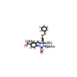 CCCCC1(C#CCCc2ccccc2)c2cc3cc(C(=O)OC)ccc3n2C(=C=O)N1OC